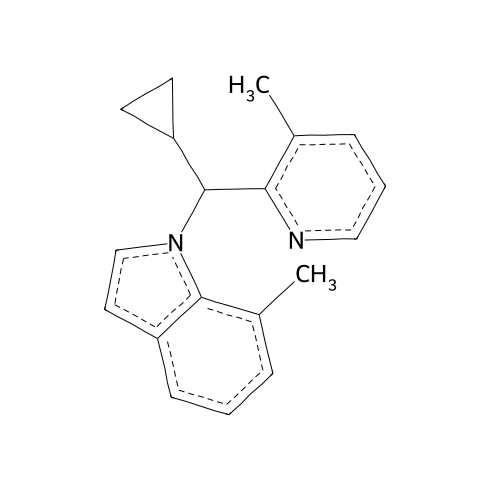 Cc1cccnc1C(C1CC1)n1ccc2cccc(C)c21